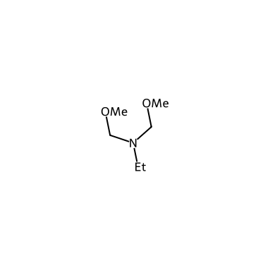 [CH2]CN(COC)COC